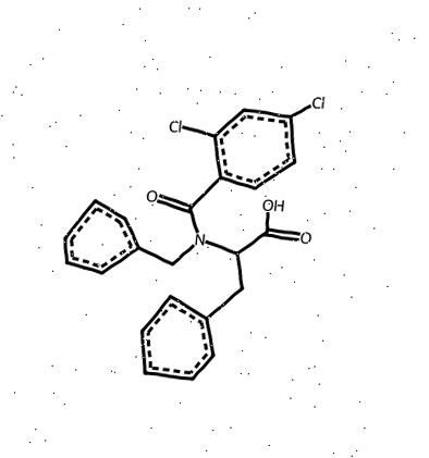 O=C(O)C(Cc1ccccc1)N(Cc1ccccc1)C(=O)c1ccc(Cl)cc1Cl